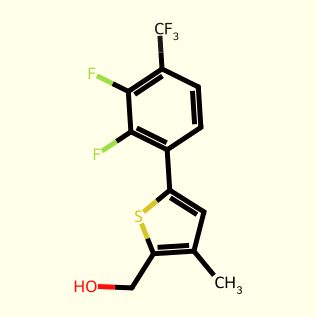 Cc1cc(-c2ccc(C(F)(F)F)c(F)c2F)sc1CO